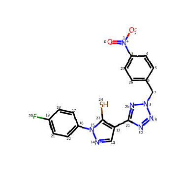 O=[N+]([O-])c1ccc(Cn2nnc(-c3cnn(-c4ccc(F)cc4)c3S)n2)cc1